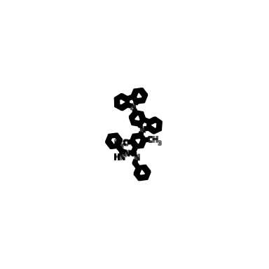 Cc1cc(-n2c3ccccc3c3cc(-n4c5ccccc5c5ccccc54)ccc32)c(C)cc1/C(=N/Cc1ccccc1)N1NC1C1=CCCC=C1